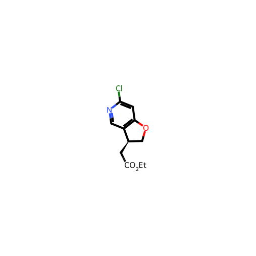 CCOC(=O)C[C@@H]1COc2cc(Cl)ncc21